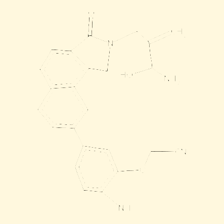 C=C(CN1Cc2c(ccc3ccc(-c4ccc(N)c(OCC#N)c4)cc23)C1=O)C(N)O